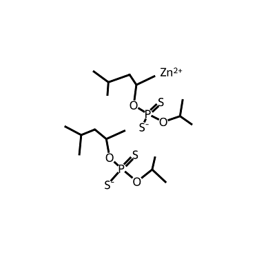 CC(C)CC(C)OP(=S)([S-])OC(C)C.CC(C)CC(C)OP(=S)([S-])OC(C)C.[Zn+2]